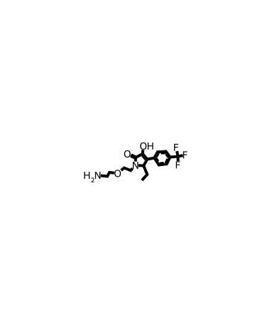 CCC1C(c2ccc(C(F)(F)F)cc2)=C(O)C(=O)N1CCOCCN